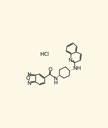 Cl.O=C(N[C@H]1CC[C@@H](Nc2ccc3ccccc3n2)CC1)c1ccc2nonc2c1